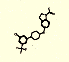 CC(=O)N1CCc2cc(SN3CCN(c4cc(Cl)cc(C(F)(F)F)c4)CC3)ccc21